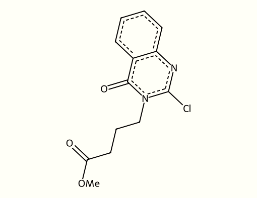 COC(=O)CCCn1c(Cl)nc2ccccc2c1=O